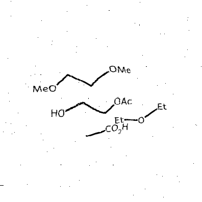 CC(=O)O.CC(=O)OCCO.CCOCC.COCCOC